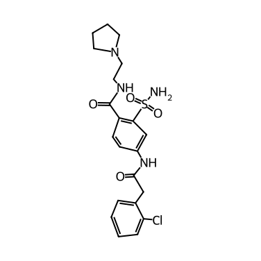 NS(=O)(=O)c1cc(NC(=O)Cc2ccccc2Cl)ccc1C(=O)NCCN1CCCC1